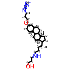 C[C@H](CCCNCCCO)C1CC[C@H]2C3CCC4C[C@H](OCCCN=[N+]=[N-])CC[C@]4(C)C3CC[C@]12C